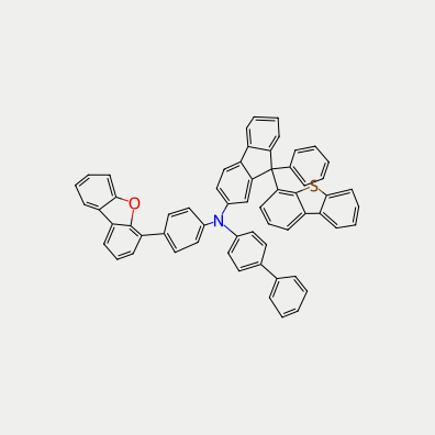 c1ccc(-c2ccc(N(c3ccc(-c4cccc5c4oc4ccccc45)cc3)c3ccc4c(c3)C(c3ccccc3)(c3cccc5c3sc3ccccc35)c3ccccc3-4)cc2)cc1